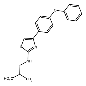 CC(CNc1nc(-c2ccc(Oc3ccccc3)cc2)cs1)C(=O)O